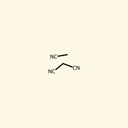 CC#N.N#CCC#N